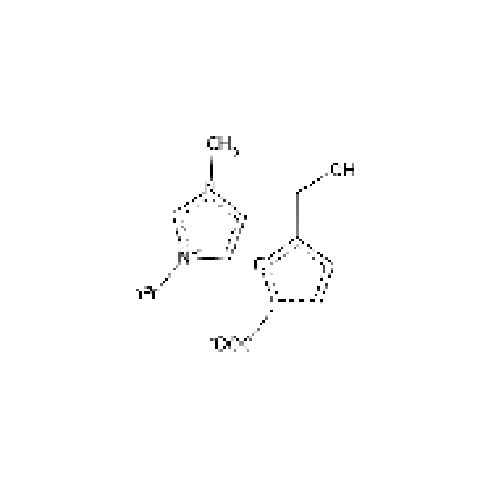 CCC[n+]1ccn(C)c1.O=C([O-])c1ccc(CO)o1